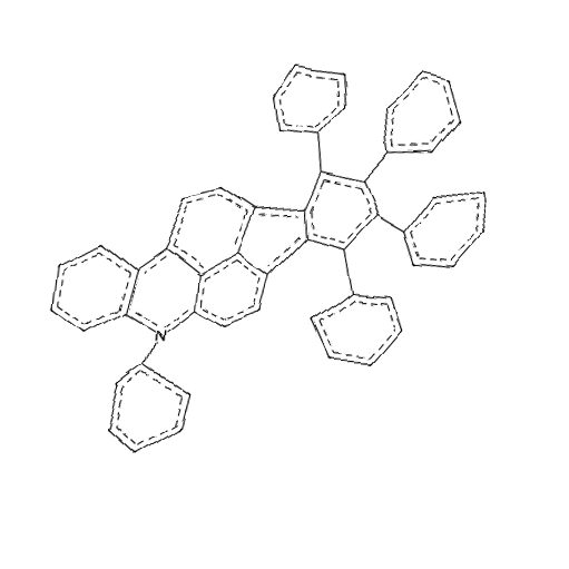 c1ccc(-c2c(-c3ccccc3)c(-c3ccccc3)c3c4ccc5c6c(ccc(c3c2-c2ccccc2)c46)c2ccccc2n5-c2ccccc2)cc1